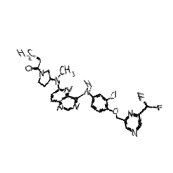 C=CC(=O)N1CCC(N(C)c2ccc3ncnc(Nc4ccc(OCc5cncc(C(F)F)n5)c(Cl)c4)c3n2)C1